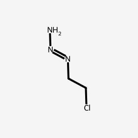 NN=NCCCl